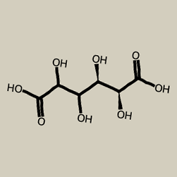 O=C(O)C(O)C(O)[C@@H](O)[C@H](O)C(=O)O